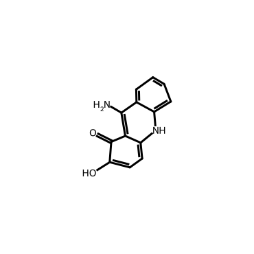 Nc1c2c(=O)c(O)ccc-2[nH]c2ccccc12